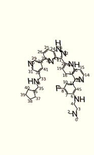 CN(C)CCNc1cc(F)cc(-c2nccc3c2CC=C(c2n[nH]c4ccc(-c5cncc(CNCC6CCCC6)c5)nc24)N3)c1